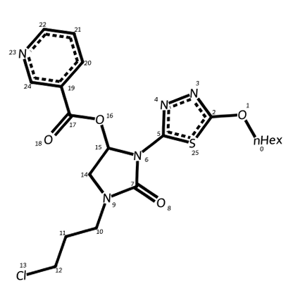 CCCCCCOc1nnc(N2C(=O)N(CCCCl)CC2OC(=O)c2cccnc2)s1